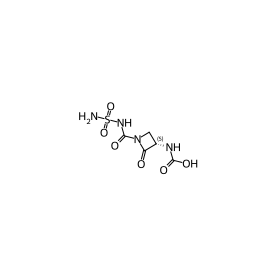 NS(=O)(=O)NC(=O)N1C[C@H](NC(=O)O)C1=O